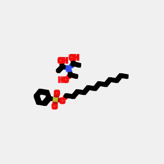 CC(O)N(C(C)O)C(C)O.CCCCCCCCCCCCOS(=O)(=O)c1ccccc1